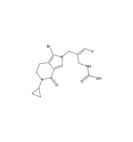 O=C(O)NC/C(=C\F)Cn1cc2c(c1Br)CCN(C1CC1)C2=O